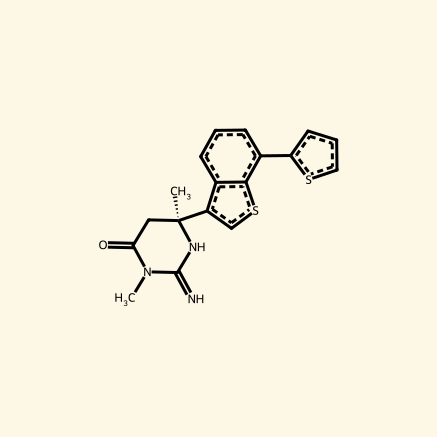 CN1C(=N)N[C@](C)(c2csc3c(-c4cccs4)cccc23)CC1=O